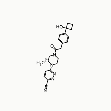 C[C@@H]1CN(C(=O)Cc2ccc(C3(O)CCC3)cc2)CCN1c1ccc(C#N)nn1